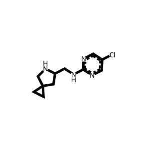 Clc1cnc(NCC2CC3(CC3)CN2)nc1